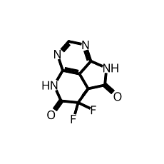 CC12C(=O)Nc3ncnc(c31)NC(=O)C2(F)F